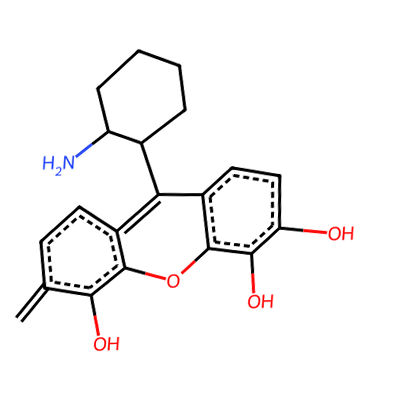 C=c1ccc2c(c1O)Oc1c(ccc(O)c1O)C=2C1CCCCC1N